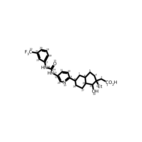 CCC1(CC(=O)O)CCC2CC(c3ccc(NC(=O)Nc4cccc(C(F)(F)F)c4)cn3)CCC2C1O